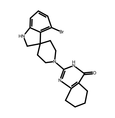 O=c1[nH]c(N2CCC3(CC2)CNc2cccc(Br)c23)nc2c1CCCC2